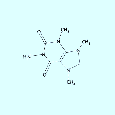 CN1CN(C)c2c1c(=O)n(C)c(=O)n2C